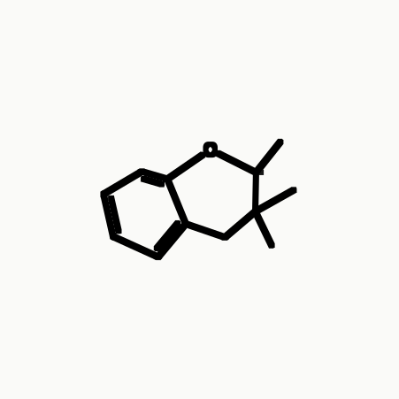 C[C]1Oc2ccccc2CC1(C)C